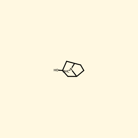 O=CN1C2CCC1CC(O)C2